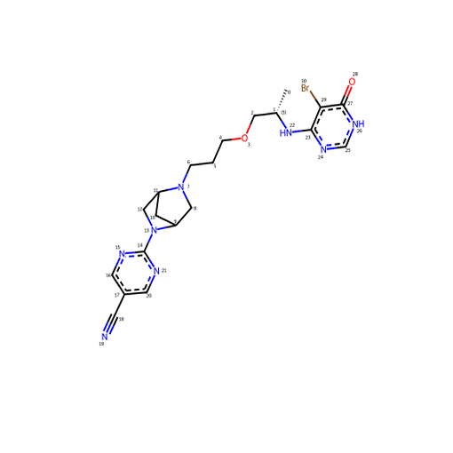 C[C@@H](COCCCN1CC2CC1CN2c1ncc(C#N)cn1)Nc1nc[nH]c(=O)c1Br